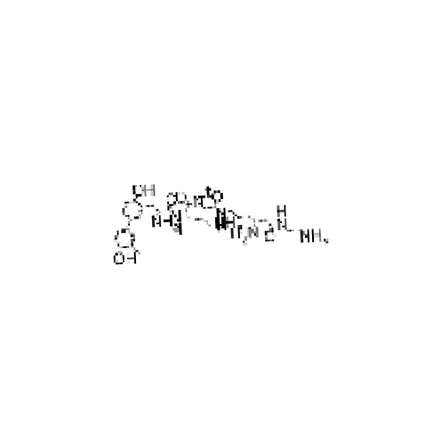 CCN(CC(=O)NCCC[C@H](N)CC(=O)NCCN)C(=O)[C@H](CCCN)NC(=O)[C@@H](N)Cc1cc(-c2ccc(O)c(C)c2)ccc1O